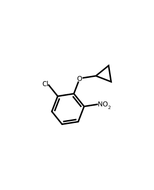 O=[N+]([O-])c1cccc(Cl)c1OC1CC1